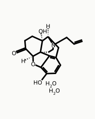 C=CCN1CC[C@]23c4c5ccc(O)c4O[C@H]2C(=O)CC[C@@]3(O)[C@H]1C5.O.O